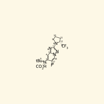 CC(C)(C)N(C(=O)O)c1cc2nc(N3CCC[C@@H]3C(F)(F)F)nn2cc1F